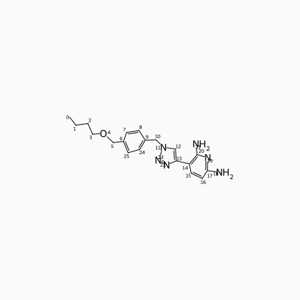 CCCCOCc1ccc(Cn2cc(-c3ccc(N)nc3N)nn2)cc1